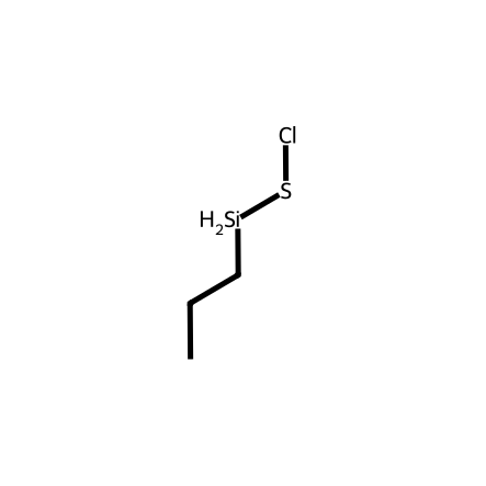 CCC[SiH2]SCl